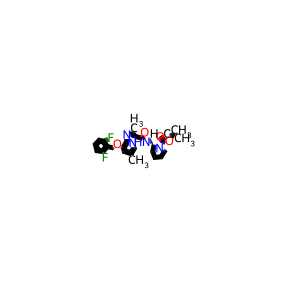 Cc1cc(OCc2c(F)cccc2F)c2nc(C)c(C(=O)NC[C@H]3CCCCN3C(=O)OC(C)(C)C)n2c1